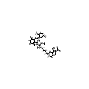 COc1ccc(Br)cc1CCc1c(F)cccc1C(=O)NC(=N)NCCCCN1CCCC(C(=O)NC(C)C)C1